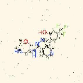 Oc1cc(C(F)(F)F)ccc1-c1nnc(NC2CNCCOC2)c2ccncc12